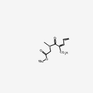 C=C/C=C(/C(=O)O)C(=O)N(C)CC(=O)OC(C)(C)C